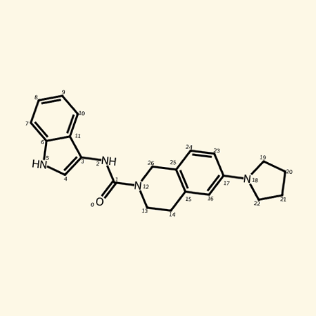 O=C(Nc1c[nH]c2ccccc12)N1CCc2cc(N3CCCC3)ccc2C1